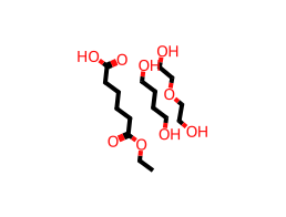 CCOC(=O)CCCCC(=O)O.OCCCCO.OCCOCCO